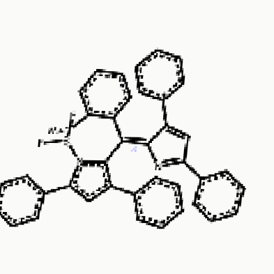 COc1ccccc1/C(=C1/N=C(c2ccccc2)C=C1c1ccccc1)c1c(-c2ccccc2)cc(-c2ccccc2)n1B(F)F